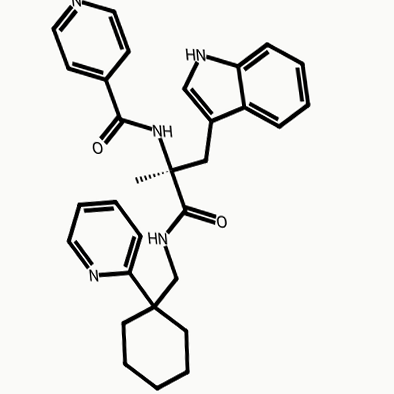 C[C@@](Cc1c[nH]c2ccccc12)(NC(=O)c1ccncc1)C(=O)NCC1(c2ccccn2)CCCCC1